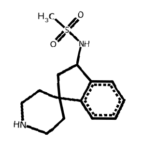 CS(=O)(=O)NC1CC2(CCNCC2)c2ccccc21